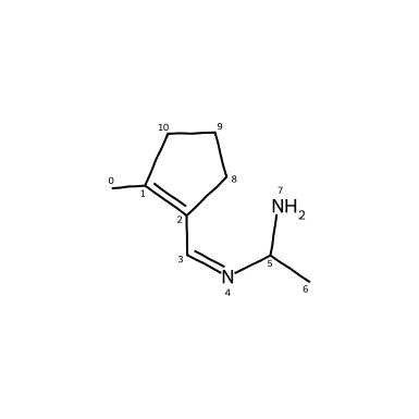 CC1=C(/C=N\C(C)N)CCC1